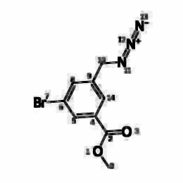 COC(=O)c1cc(Br)cc(CN=[N+]=[N-])c1